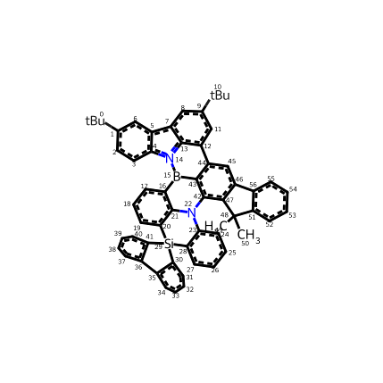 CC(C)(C)c1ccc2c(c1)c1cc(C(C)(C)C)cc3c1n2B1c2cccc4c2N(c2ccccc2[Si]42c4ccccc4-c4ccccc42)c2c1c-3cc1c2C(C)(C)c2ccccc2-1